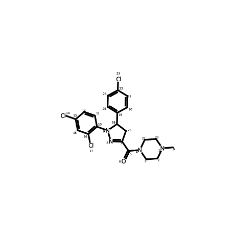 CN1CCN(C(=O)C2=NN(c3ccc(Cl)cc3Cl)C(c3ccc(Cl)cc3)C2)CC1